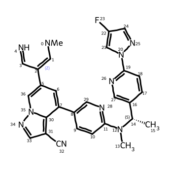 CN/C=C(\C=N)c1cc(-c2ccc(N(C)[C@@H](C)c3ccc(-n4cc(F)cn4)nc3)nc2)c2c(C#N)cnn2c1